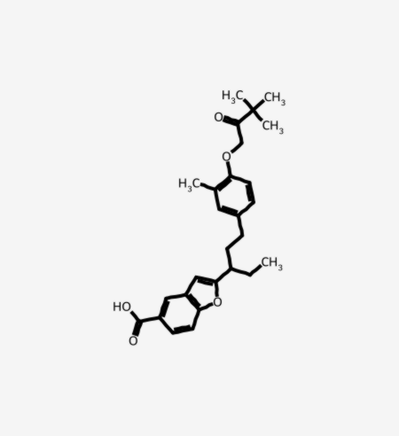 CCC(CCc1ccc(OCC(=O)C(C)(C)C)c(C)c1)c1cc2cc(C(=O)O)ccc2o1